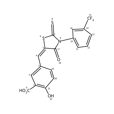 O=C(O)c1cc(C=C2SC(=S)N(c3cccc(C(F)(F)F)c3)C2=O)ccc1O